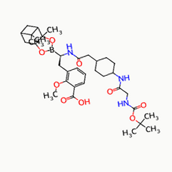 COc1c(C[C@H](NC(=O)CC2CCC(NC(=O)CNC(=O)OC(C)(C)C)CC2)B2OC3CC4CC(C4(C)C)C3(C)O2)cccc1C(=O)O